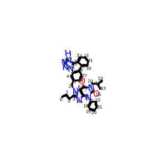 CCCc1nc2c(c(=O)n(CC(C)C)c(=O)n2-c2ccccc2)n1Cc1ccc(-c2ccccc2-c2nnn[nH]2)cc1